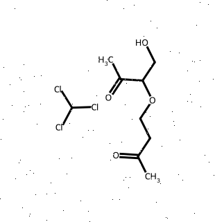 CC(=O)CCOC(CO)C(C)=O.ClC(Cl)Cl